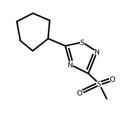 CS(=O)(=O)c1nsc(C2CCCCC2)n1